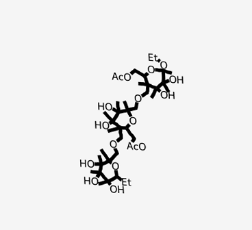 CCOC1(C)OC(COC(C)=O)C(C)(COCC2(C)OC(COC(C)=O)C(C)(COCC3(C)OC(CC)C(C)(O)C(C)(O)C3(C)O)C(C)(O)C2(C)O)C(C)(O)C1(C)O